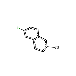 N#Cc1c[c]c2cc(F)ccc2c1